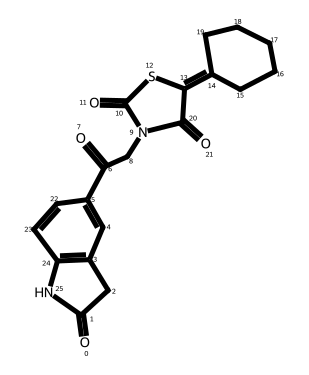 O=C1Cc2cc(C(=O)CN3C(=O)SC(=C4CCCCC4)C3=O)ccc2N1